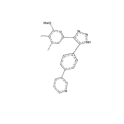 COc1cc(-c2nn[nH]c2-c2ccc(-c3cccnc3)cc2)cc(C)c1C